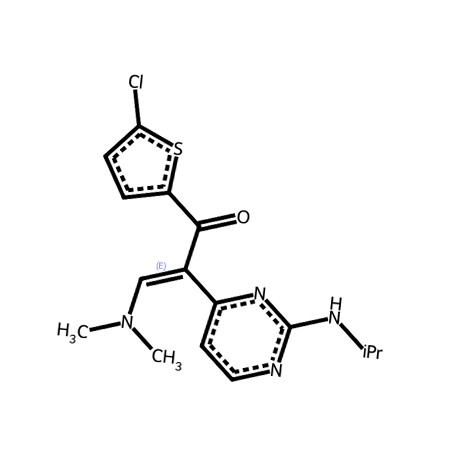 CC(C)Nc1nccc(/C(=C\N(C)C)C(=O)c2ccc(Cl)s2)n1